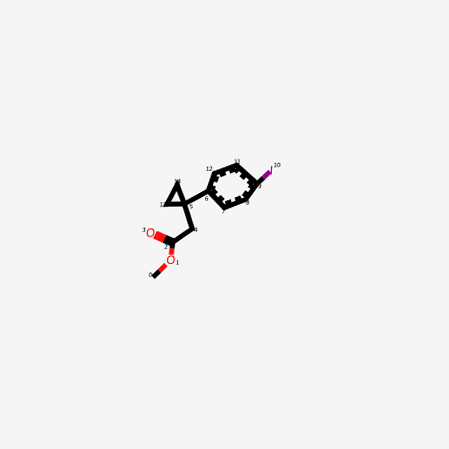 COC(=O)CC1(c2ccc(I)cc2)CC1